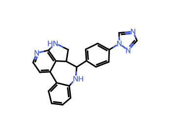 c1ccc2c(c1)NC(c1ccc(-n3cncn3)cc1)C1CNc3nccc-2c31